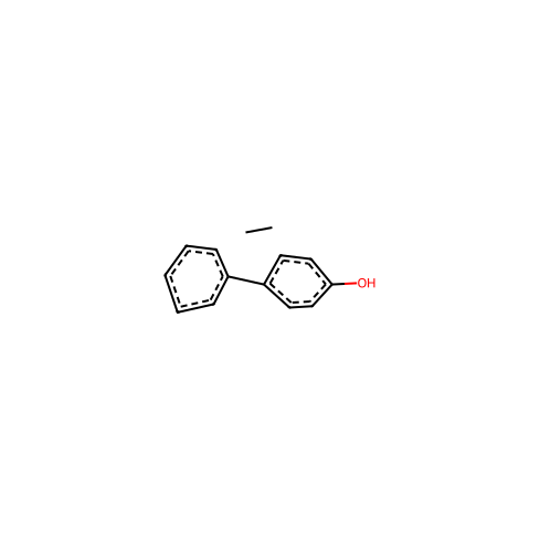 CC.Oc1ccc(-c2ccccc2)cc1